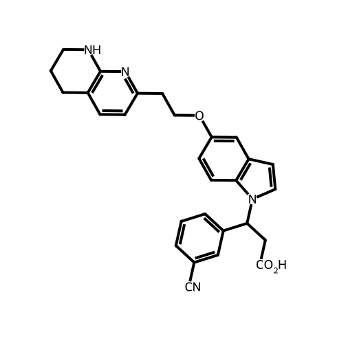 N#Cc1cccc(C(CC(=O)O)n2ccc3cc(OCCc4ccc5c(n4)NCCC5)ccc32)c1